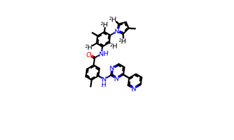 [2H]c1c(C)c([2H])c(-n2c([2H])cc(C)c2[2H])c([2H])c1NC(=O)c1ccc(C)c(Nc2nccc(-c3cccnc3)n2)c1